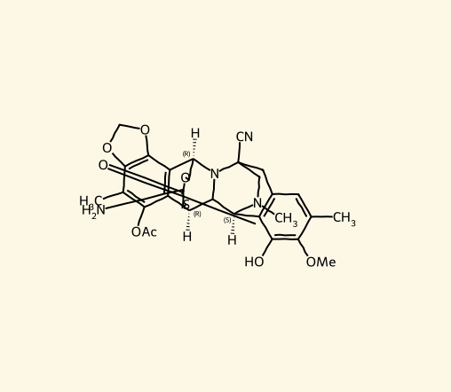 COc1c(C)cc2c(c1O)[C@H]1C3[C@@H]4SCC(N)C(=O)OC[C@@H](c5c6c(c(C)c(OC(C)=O)c54)OCO6)N3C(C#N)(C2)CN1C